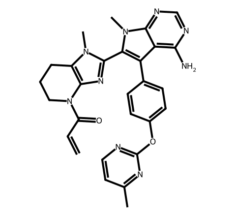 C=CC(=O)N1CCCc2c1nc(-c1c(-c3ccc(Oc4nccc(C)n4)cc3)c3c(N)ncnc3n1C)n2C